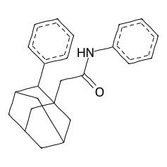 O=C(CC12CC3CC(CC(C3)C1c1ccccc1)C2)Nc1ccccc1